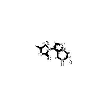 CC1OC(=O)N(c2cnn3c2CN[C@@H](C)C3)[C@H]1C